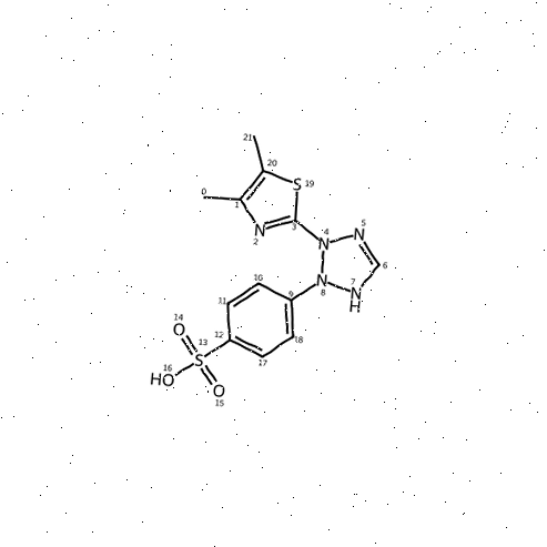 Cc1nc(N2N=CNN2c2ccc(S(=O)(=O)O)cc2)sc1C